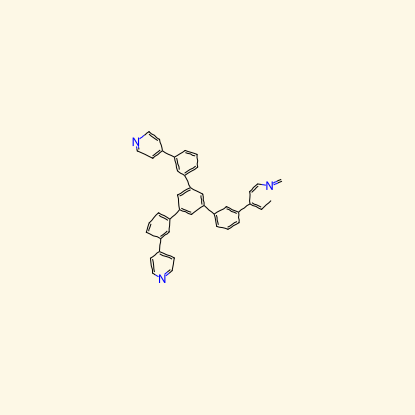 C=N/C=C\C(=C/C)c1cccc(-c2cc(-c3cccc(-c4ccncc4)c3)cc(-c3cccc(-c4ccncc4)c3)c2)c1